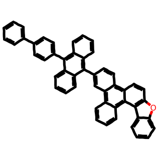 c1ccc(-c2ccc(-c3c4ccccc4c(-c4ccc5c(c4)c4ccccc4c4c5ccc5oc6ccccc6c54)c4ccccc34)cc2)cc1